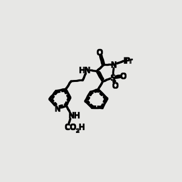 CC(C)N1C(=O)C(NCCc2ccnc(NC(=O)O)c2)=C(c2ccccc2)S1(=O)=O